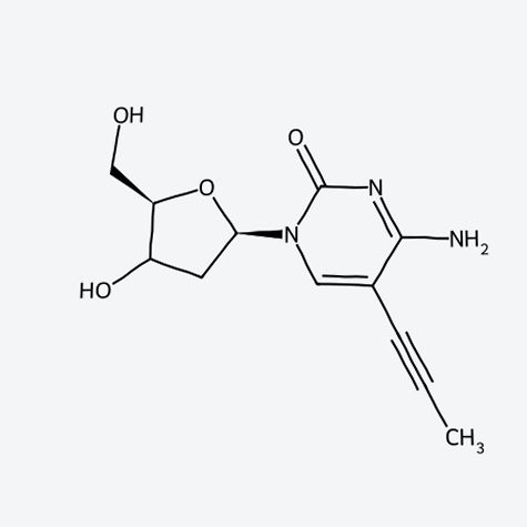 CC#Cc1cn([C@H]2CC(O)[C@@H](CO)O2)c(=O)nc1N